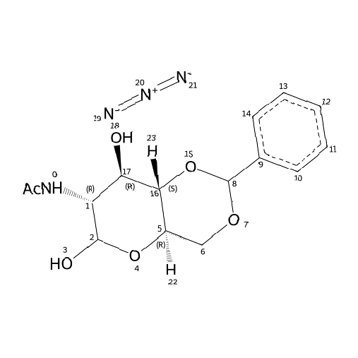 CC(=O)N[C@H]1C(O)O[C@@H]2COC(c3ccccc3)O[C@H]2[C@@H]1O.[N-]=[N+]=[N-]